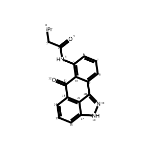 CC(C)CC(=O)Nc1cccc2c1C(=O)c1cccc3[nH]nc-2c13